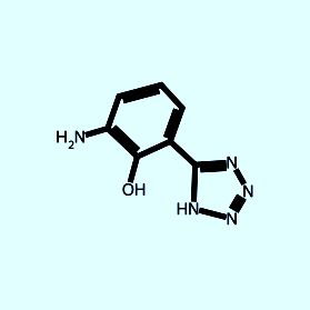 Nc1cccc(-c2nnn[nH]2)c1O